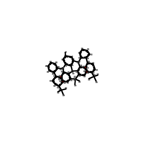 Cc1cc2c3c(c1)N(c1ccccc1-c1ccc(C(C)(C)C)cc1)c1cccc4c1B3c1c(cccc1[Si]4(C)C)N2c1ccccc1-c1ccc(C(C)(C)C)cc1